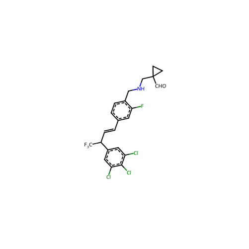 O=CC1(CNCc2ccc(/C=C/C(c3cc(Cl)c(Cl)c(Cl)c3)C(F)(F)F)cc2F)CC1